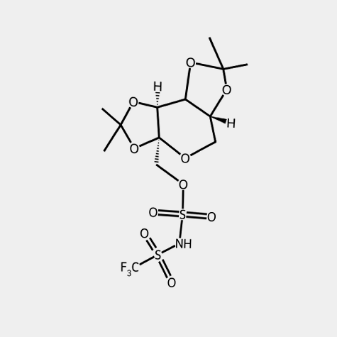 CC1(C)OC2[C@@H](CO[C@@]3(COS(=O)(=O)NS(=O)(=O)C(F)(F)F)OC(C)(C)O[C@@H]23)O1